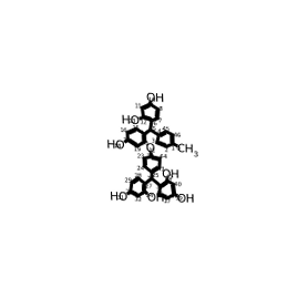 Cc1ccc(C(c2ccc(O)cc2O)c2ccc(O)cc2Oc2ccc(C(c3ccc(O)cc3O)c3ccc(O)cc3O)cc2)cc1